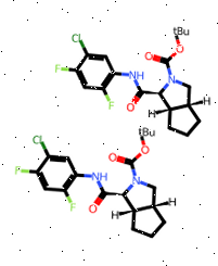 CC(C)(C)OC(=O)N1C[C@@H]2CCC[C@@H]2[C@H]1C(=O)Nc1cc(Cl)c(F)cc1F.CC(C)(C)OC(=O)N1C[C@@H]2CCC[C@@H]2[C@H]1C(=O)Nc1cc(Cl)c(F)cc1F